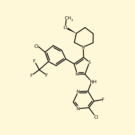 CO[C@H]1CCCN(c2sc(Nc3ncnc(Cl)c3F)nc2-c2ccc(Cl)c(C(F)(F)F)c2)C1